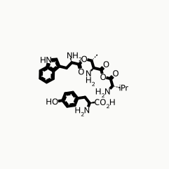 CC(C)[C@H](N)C(=O)OC(=O)[C@@H](N)[C@@H](C)OC(=O)[C@@H](N)Cc1c[nH]c2ccccc12.N[C@@H](Cc1ccc(O)cc1)C(=O)O